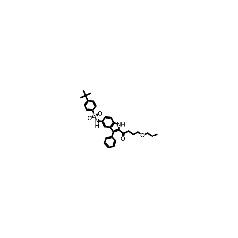 CCCOCCCC(=O)c1[nH]c2ccc(NS(=O)(=O)c3ccc(C(C)(C)C)cc3)cc2c1-c1ccccc1